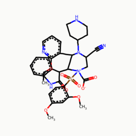 CCOc1ncccc1C1C(C2C(=O)Nc3ccccc32)[N+](C(=O)[O-])(S(=O)(=O)c2ccc(OC)cc2OC)CC(C#N)N1C1CCNCC1